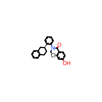 CCN(C(=O)c1ccc(O)cc1)c1ccccc1[C@H]1CCc2c[c]ccc2C1